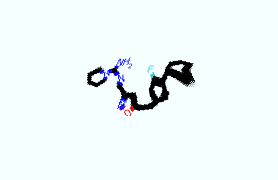 NC(=NCc1cc(Cc2ccc(-c3ccccc3)c(F)c2)on1)N1CCCCC1